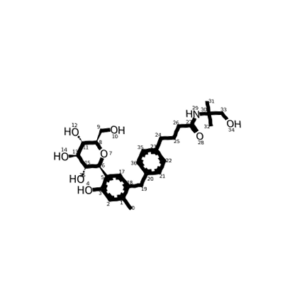 Cc1cc(O)c([C@@H]2O[C@H](CO)[C@@H](O)[C@H](O)[C@H]2O)cc1Cc1ccc(CCCC(=O)NC(C)(C)CO)cc1